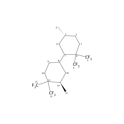 C[C@@H]1CCC(C(F)(F)F)(C(F)(F)F)C(C2CCC(C(F)(F)F)(C(F)(F)F)[C@H](C)C2)C1